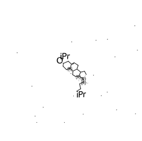 CC(C)CCC[C@@H](C)[C@H]1CCC2C3CC=C4CC(OC(C)C)CC[C@]4(C)C3CC[C@@]21C